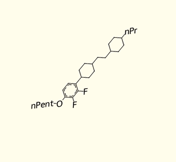 CCCCCOc1ccc(C2CCC(CCC3CCC(CCC)CC3)CC2)c(F)c1F